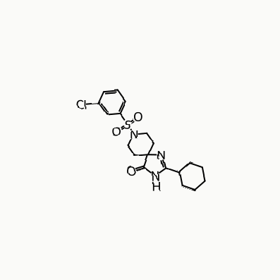 O=C1NC(C2CCCCC2)=NC12CCN(S(=O)(=O)c1cccc(Cl)c1)CC2